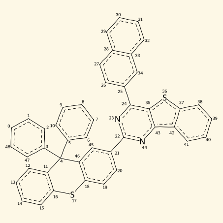 c1ccc(C2(c3ccccc3)c3ccccc3Sc3ccc(-c4nc(-c5ccc6ccccc6c5)c5sc6ccccc6c5n4)cc32)cc1